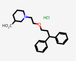 Cl.O=C(O)C1CCCN(CCOCCC(c2ccccc2)c2ccccc2)C1